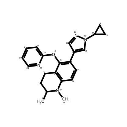 CC1CCc2c(ccc(-c3cnn(C4CC4)c3)c2Oc2ccccn2)N1C